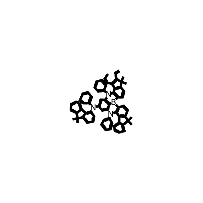 C=CC1=C(/C=C\C)c2c(ccc3c2N(c2ccccc2)c2cc(N(c4ccccc4)c4cccc5c4-c4ccccc4C5(C)C)cc4c2B3c2ccc3c(c2N4c2ccccc2)-c2ccccc2C3(C)C)C1(C)C